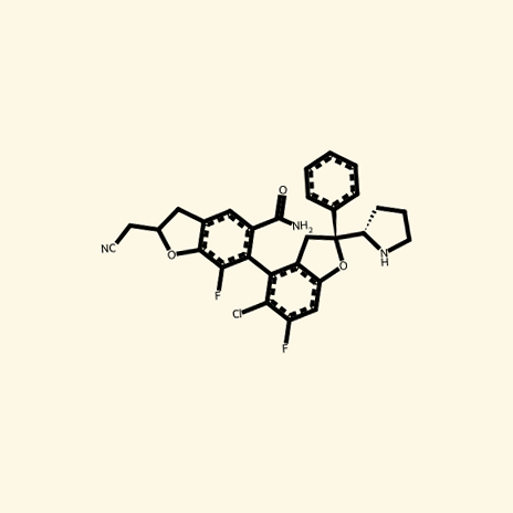 N#CCC1Cc2cc(C(N)=O)c(-c3c(Cl)c(F)cc4c3C[C@](c3ccccc3)([C@@H]3CCCN3)O4)c(F)c2O1